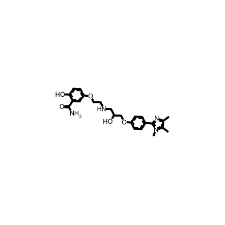 Cc1nc(-c2ccc(OCC(O)CNCCOc3ccc(O)c(C(N)=O)c3)cc2)n(C)c1C